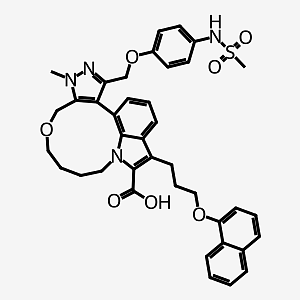 Cn1nc(COc2ccc(NS(C)(=O)=O)cc2)c2c1COCCCCn1c(C(=O)O)c(CCCOc3cccc4ccccc34)c3cccc-2c31